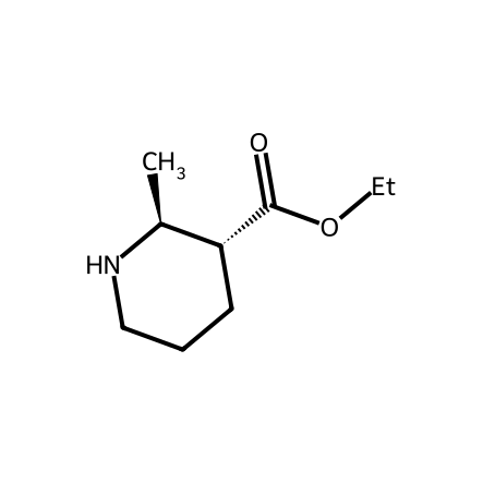 CCOC(=O)[C@@H]1CCCN[C@H]1C